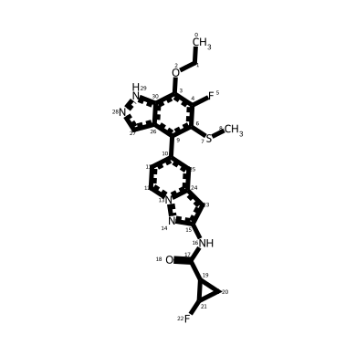 CCOc1c(F)c(SC)c(-c2ccn3nc(NC(=O)C4CC4F)cc3c2)c2cn[nH]c12